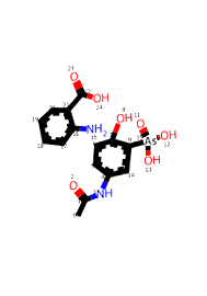 CC(=O)Nc1ccc(O)c([As](=O)(O)O)c1.Nc1ccccc1C(=O)O